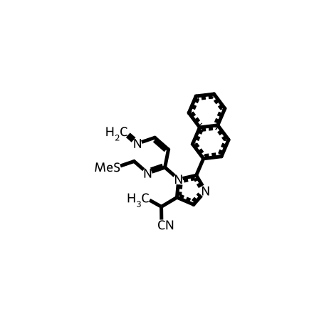 C=N/C=C\C(=N/CSC)n1c(C(C)C#N)cnc1-c1ccc2ccccc2c1